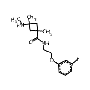 CNC1(C)CC(C)(C(=O)NCCOc2cccc(F)c2)C1